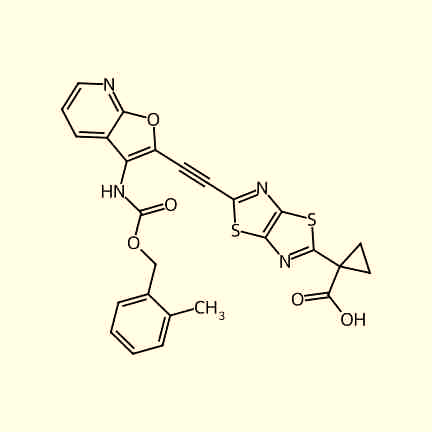 Cc1ccccc1COC(=O)Nc1c(C#Cc2nc3sc(C4(C(=O)O)CC4)nc3s2)oc2ncccc12